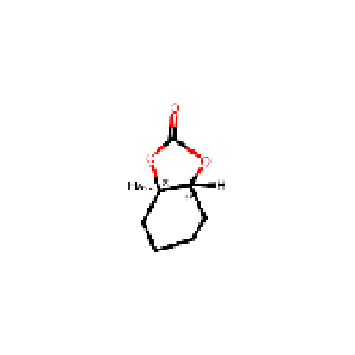 O=C1O[C@@H]2CCCC[C@H]2O1